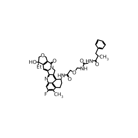 CC[C@@]1(O)COCc2c1cc1n(c2=O)Cc2c-1nc1cc(F)c(C)c3c1c2[C@@H](NC(=O)COCNC(=O)CNC(=O)[C@@H](C)Cc1ccccc1)CC3